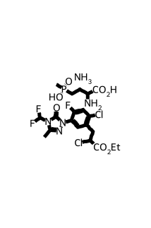 CCOC(=O)C(Cl)Cc1cc(-n2nc(C)n(C(F)F)c2=O)c(F)cc1Cl.CP(=O)(O)CCC(N)C(=O)O.N